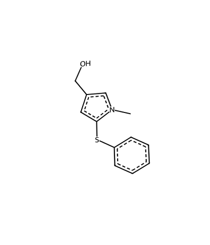 Cn1cc(CO)cc1Sc1ccccc1